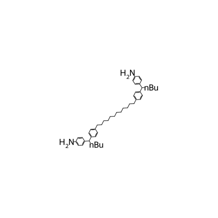 CCCCC(c1ccc(N)cc1)c1ccc(CCCCCCCCCCCCc2ccc(C(CCCC)c3ccc(N)cc3)cc2)cc1